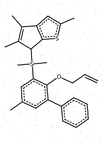 C=CCOc1c(-c2ccccc2)cc(C)cc1[Si](C)(C)C1C(C)=C(C)c2cc(C)sc21